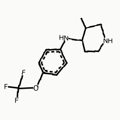 CC1CNCCC1Nc1ccc(OC(F)(F)F)cc1